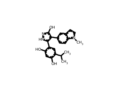 CC(C)c1cc(-c2[nH]nc(O)c2-c2ccc3c(ccn3C)c2)c(O)cc1O